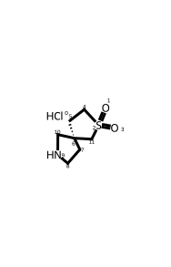 Cl.O=S1(=O)CC[C@@]2(CCNC2)C1